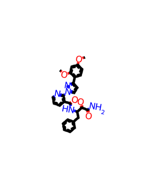 COc1ccc(-c2ccn(-c3ncccc3C(=O)NC(Cc3ccccc3)C(=O)C(N)=O)n2)c(OC)c1